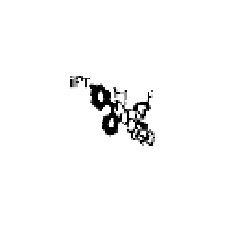 CC(C)c1ccc([C@@H](NC(=O)[C@@H]2C[C@@H](F)CN2C(=O)CS(C)(=O)=O)c2ccccc2)cc1